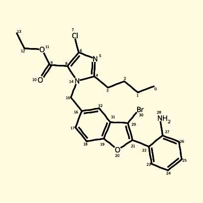 CCCCc1nc(Cl)c(C(=O)OCC)n1Cc1ccc2oc(-c3ccccc3N)c(Br)c2c1